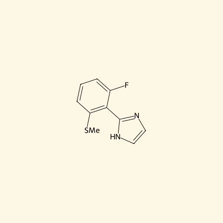 CSc1cccc(F)c1-c1ncc[nH]1